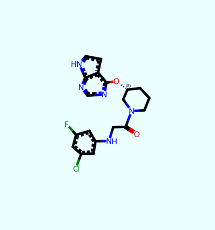 O=C(CNc1cc(F)cc(Cl)c1)N1CCC[C@@H](Oc2ncnc3[nH]ccc23)C1